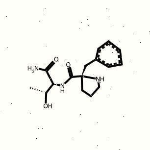 C[C@@H](O)[C@H](NC(=O)[C@@]1(Cc2ccccc2)CCCN1)C(N)=O